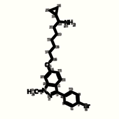 Cn1nc(-c2ccc(Br)cc2)c2ccc(OCCCCCCC(N)C3CC3)cc21